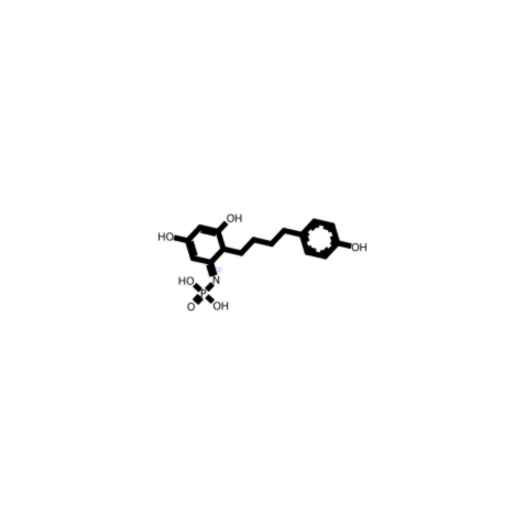 O=P(O)(O)/N=C1\C=C(O)C=C(O)C1CCCCc1ccc(O)cc1